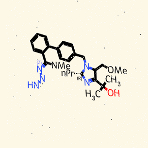 CCC[C@H]1N=C(C(C)(C)O)C(COC)N1Cc1ccc(-c2ccccc2/C(=N/N=N)NC)cc1